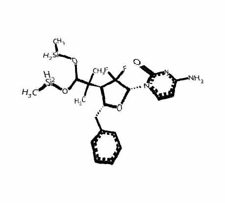 C[SiH2]OC(O[SiH2]C)C(C)(C)[C@@H]1[C@@H](Cc2cc[c]cc2)O[C@@H](n2ccc(N)nc2=O)C1(F)F